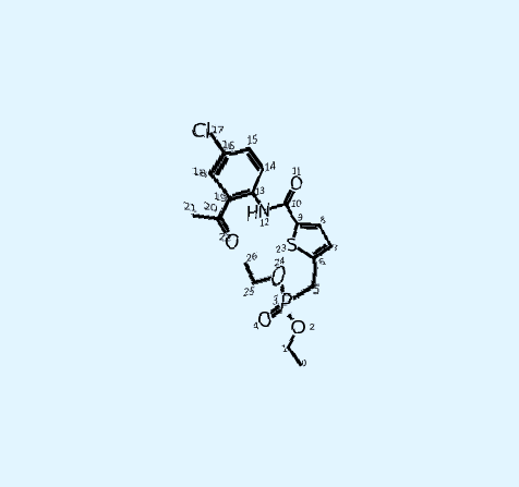 CCOP(=O)(Cc1ccc(C(=O)Nc2ccc(Cl)cc2C(C)=O)s1)OCC